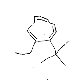 CCc1cc[c]cc1C(C)(C)C